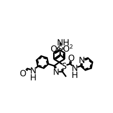 CC1=S(C(=O)Nc2ccccn2)C2(C3=CC=CC2=C3S(N)(=O)=O)C(c2cccc(NC=O)c2)=N1